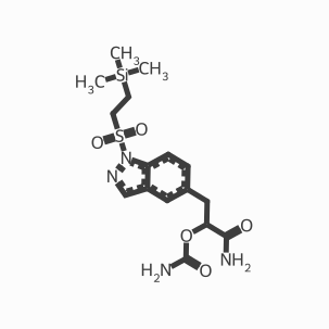 C[Si](C)(C)CCS(=O)(=O)n1ncc2cc(CC(OC(N)=O)C(N)=O)ccc21